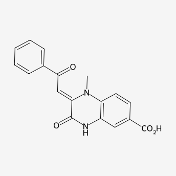 CN1C(=CC(=O)c2ccccc2)C(=O)Nc2cc(C(=O)O)ccc21